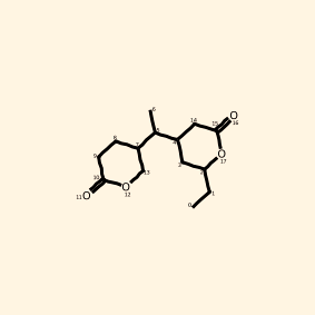 CCC1CC(C(C)C2CCC(=O)OC2)CC(=O)O1